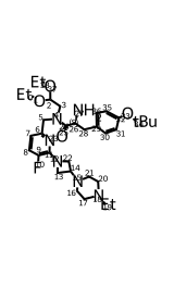 CCOC(CN(Cc1ccc(F)c(N2CC(N3CCN(CC)CC3)C2)n1)C(=O)[C@@H](N)Cc1ccc(OC(C)(C)C)cc1)OCC